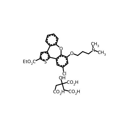 CCOC(=O)c1cc2c(s1)-c1cc(Cl)cc(OCCCN(C)C)c1Oc1ccccc1-2.O=C(O)CC(O)(CC(=O)O)C(=O)O